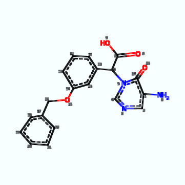 Nc1cncn(C(C(=O)O)c2cccc(OCc3ccccc3)c2)c1=O